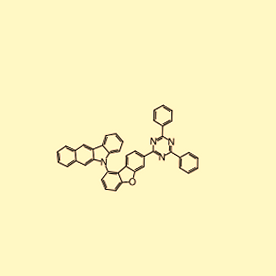 c1ccc(-c2nc(-c3ccccc3)nc(-c3ccc4c(c3)oc3cccc(-n5c6ccccc6c6cc7ccccc7cc65)c34)n2)cc1